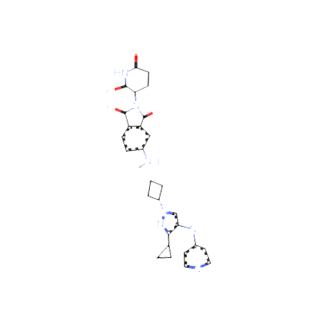 O=C1CCC(N2C(=O)c3ccc(NC[C@H]4C[C@H](n5cc(Nc6ccncc6)c(C6CC6)n5)C4)cc3C2=O)C(=O)N1